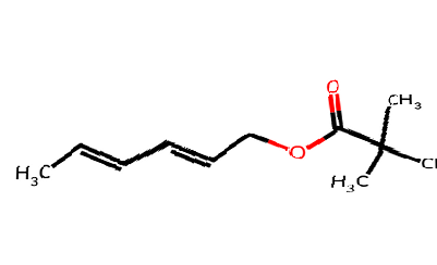 C/C=C/C=C/COC(=O)C(C)(C)C